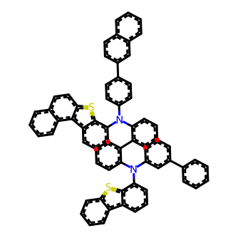 c1ccc(-c2cccc(N(c3ccccc3-c3ccccc3N(c3ccc(-c4ccc5ccccc5c4)cc3)c3cccc4c3sc3ccc5ccccc5c34)c3cccc4c3sc3ccccc34)c2)cc1